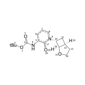 CC(C)(C)OC(=O)Nc1cccn([C@@H]2C[C@H]3CCO[C@H]32)c1=O